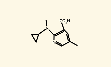 CN(c1ncc(F)cc1C(=O)O)C1CC1